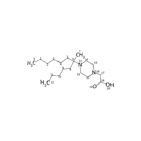 CCCCCCC(C)(CCCCC)N1CCN(CC(=O)O)CC1